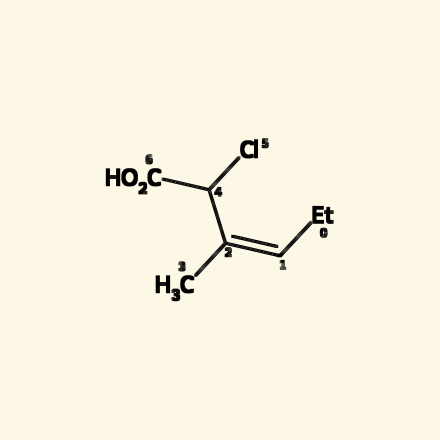 CCC=C(C)C(Cl)C(=O)O